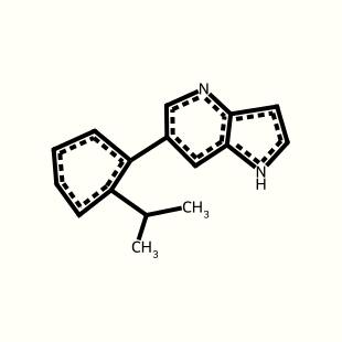 CC(C)c1ccccc1-c1cnc2cc[nH]c2c1